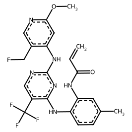 C=CC(=O)Nc1cc(C)ccc1Nc1nc(Nc2cc(OC)ncc2CF)ncc1C(F)(F)F